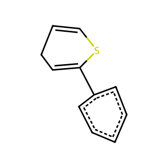 C1=CSC(c2ccccc2)=CC1